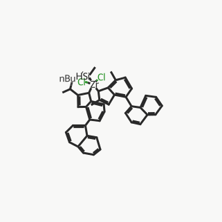 CCCCC(C)C1=Cc2c(-c3cccc4ccccc34)cccc2[CH]1[Zr]([Cl])([Cl])([CH]1C(C)=Cc2c(-c3cccc4ccccc34)ccc(C)c21)[SiH](C)C